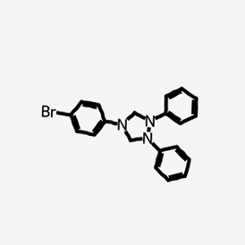 Brc1ccc(N2CN(c3ccccc3)N(c3ccccc3)C2)cc1